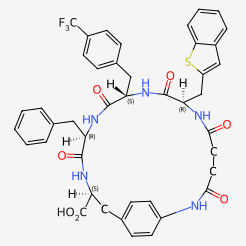 O=C1CCC(=O)N[C@H](Cc2cc3ccccc3s2)C(=O)N[C@@H](Cc2ccc(C(F)(F)F)cc2)C(=O)N[C@H](Cc2ccccc2)C(=O)N[C@H](C(=O)O)Cc2ccc(cc2)N1